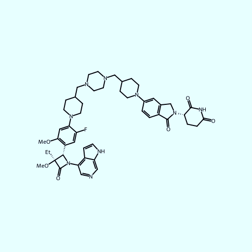 CC[C@@]1(OC)C(=O)N(c2cncc3[nH]ccc23)[C@H]1c1cc(F)c(N2CCC(CN3CCN(CC4CCN(c5ccc6c(c5)CN([C@H]5CCC(=O)NC5=O)C6=O)CC4)CC3)CC2)cc1OC